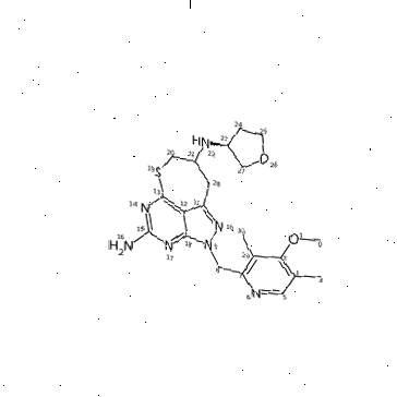 COc1c(C)cnc(Cn2nc3c4c(nc(N)nc42)SCC(N[C@H]2CCOC2)C3)c1C